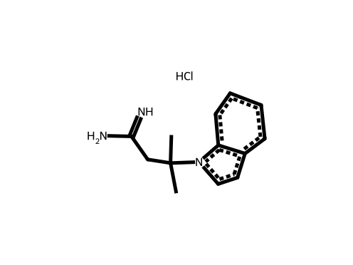 CC(C)(CC(=N)N)n1ccc2ccccc21.Cl